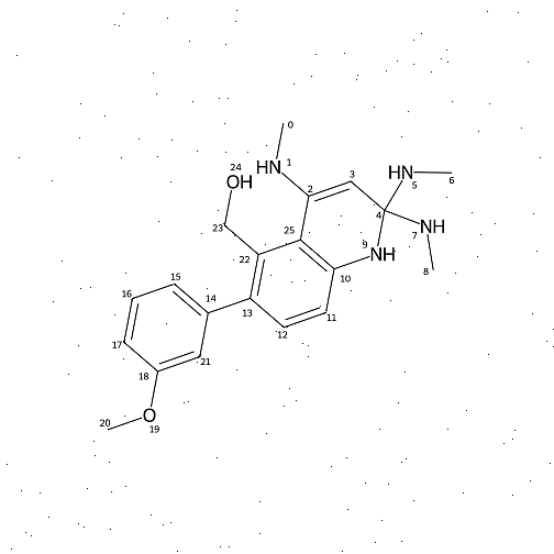 CNC1=CC(NC)(NC)Nc2ccc(-c3cccc(OC)c3)c(CO)c21